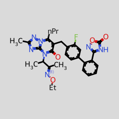 CCCc1c(Cc2ccc(-c3ccccc3-c3noc(=O)[nH]3)cc2F)c(=O)n(C(C)/C(C)=N/OCC)c2nc(C)nn12